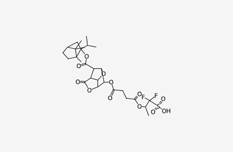 CC(C)C1(OC(=O)C2C3OC4C(OC(=O)C42)C3OC(=O)CCC(=O)OC(C)C(F)(F)S(=O)(=O)O)CC2CCC1(C)C2(C)C